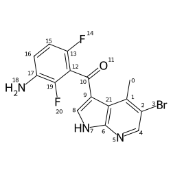 Cc1c(Br)cnc2[nH]cc(C(=O)c3c(F)ccc(N)c3F)c12